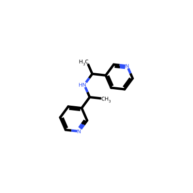 CC(NC(C)c1cccnc1)c1cccnc1